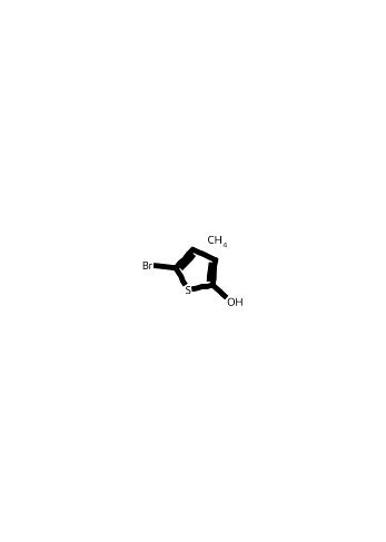 C.Oc1ccc(Br)s1